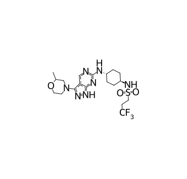 CC1CN(c2n[nH]c3nc(N[C@H]4CC[C@H](NS(=O)(=O)CCC(F)(F)F)CC4)ncc23)CCO1